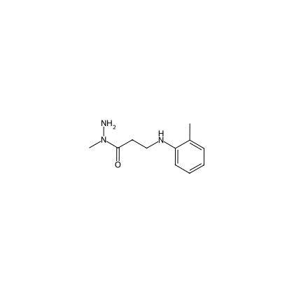 Cc1ccccc1NCCC(=O)N(C)N